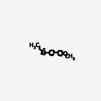 CCCc1ccc(-c2ccc(-c3ccc(OC)cc3)cc2)s1